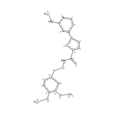 CNc1nccc(-c2ccc(C(=O)NCCc3ccc(OC)c(OC)c3)s2)n1